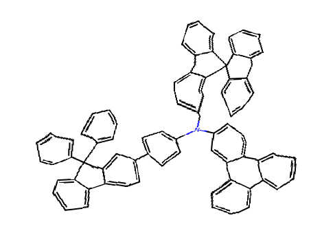 c1ccc(C2(c3ccccc3)c3ccccc3-c3ccc(-c4ccc(N(c5ccc6c(c5)C5(c7ccccc7-c7ccccc75)c5ccccc5-6)c5ccc6c7ccccc7c7ccccc7c6c5)cc4)cc32)cc1